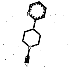 N#CN1CCC(c2ccccn2)CC1